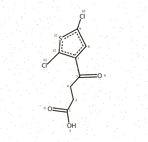 O=C(O)CCC(=O)c1cc(Cl)sc1Cl